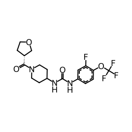 O=C(Nc1ccc(OC(F)(F)F)c(F)c1)NC1CCN(C(=O)[C@@H]2CCOC2)CC1